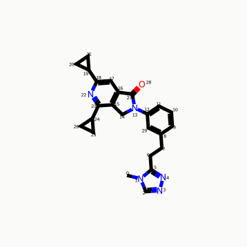 Cn1cnnc1CCc1cccc(N2Cc3c(cc(C4CC4)nc3C3CC3)C2=O)c1